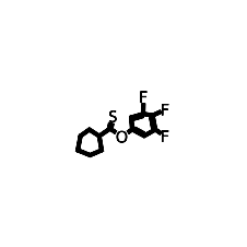 Fc1cc(OC(=S)C2CCCCC2)cc(F)c1F